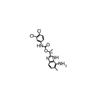 Cc1ccc2nc([C@H](C)OC(=O)Nc3ccc(Cl)c(Cl)c3)[nH]c2c1N